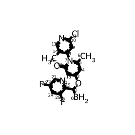 BC(Oc1cc(C)n(-c2cc(Cl)ncc2C)c(=O)c1)c1ncc(F)cc1F